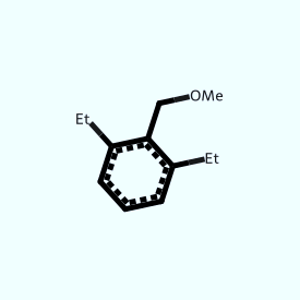 CCc1cccc(CC)c1COC